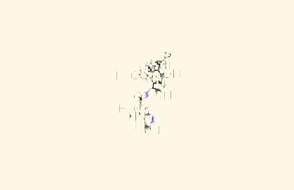 CN/C=C\C(=N)CN(C)C(=O)/C=C/c1c(C)nn2c(O)c(C(=O)NC3CC3)c(=O)n(CC(C)C)c12